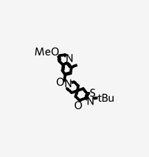 COc1cnc2c(C)cc(C(=O)N3CCC4(CC3)CC(=O)c3nc(C(C)(C)C)sc3C4)cc2c1